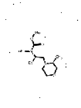 CCCN(C(=O)OC(C)(C)C)[C@H](CC)CN1CCOC[C@@H]1C